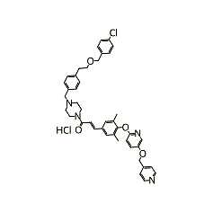 Cc1cc(/C=C/C(=O)N2CCN(Cc3ccc(CCOCc4ccc(Cl)cc4)cc3)CC2)cc(C)c1Oc1ccc(OCc2ccncc2)cn1.Cl